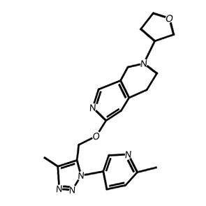 Cc1ccc(-n2nnc(C)c2COc2cc3c(cn2)CN(C2CCOC2)CC3)cn1